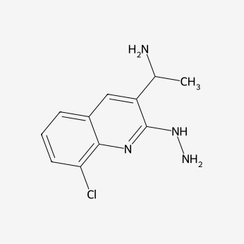 CC(N)c1cc2cccc(Cl)c2nc1NN